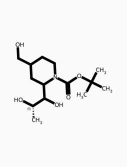 C[C@H](O)C(O)C1CC(CO)CCN1C(=O)OC(C)(C)C